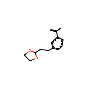 C=C(C)c1cccc(CCC2OCCO2)c1